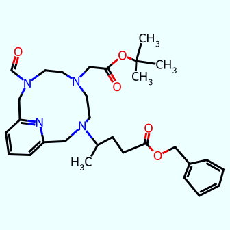 CC(CCC(=O)OCc1ccccc1)N1CCN(CC(=O)OC(C)(C)C)CCN(C=O)Cc2cccc(n2)C1